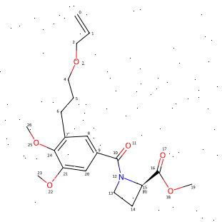 C=CCOCCCc1cc(C(=O)N2CC[C@@H]2C(=O)OC)cc(OC)c1OC